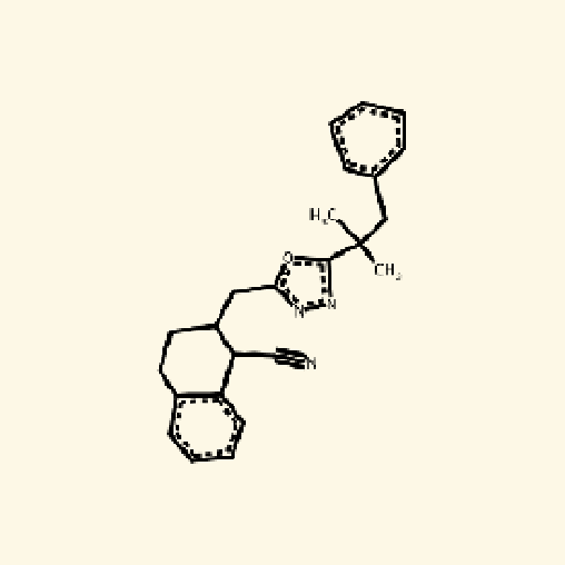 CC(C)(Cc1ccccc1)c1nnc(CC2CCc3ccccc3C2C#N)o1